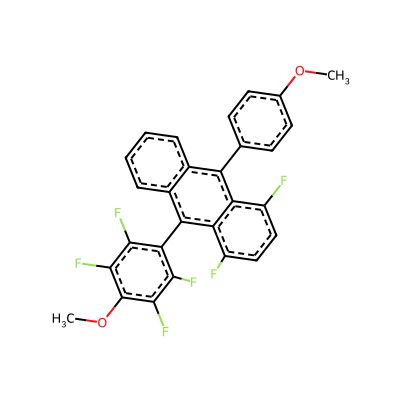 COc1ccc(-c2c3ccccc3c(-c3c(F)c(F)c(OC)c(F)c3F)c3c(F)ccc(F)c23)cc1